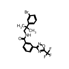 CC(C)(CNC(=O)c1cccc(-c2noc(C(F)(F)F)n2)c1)c1cccc(Br)c1